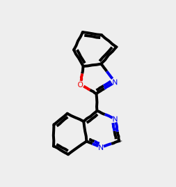 [c]1nc(-c2nc3ccccc3o2)c2ccccc2n1